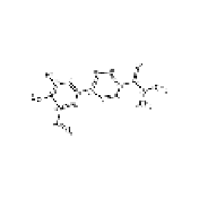 CN(C)C(=O)c1ccc(-c2cc(F)c(O)c(C=O)c2)cc1